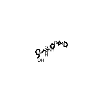 O=C(NCCN1CCCCC1CCO)Nc1ccc(OC2CC(N3CCCCC3)C2)cc1